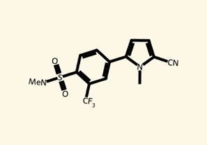 CNS(=O)(=O)c1ccc(-c2ccc(C#N)n2C)cc1C(F)(F)F